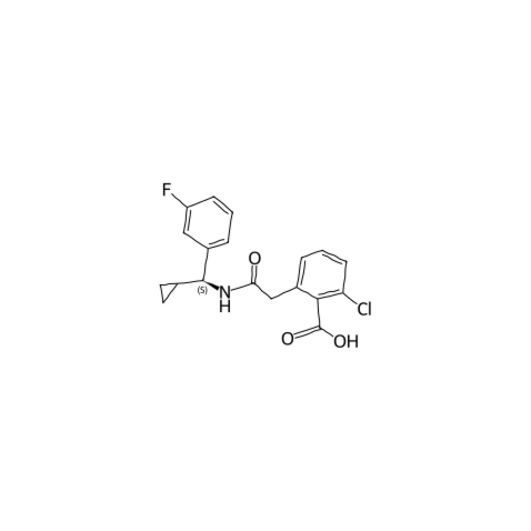 O=C(Cc1cccc(Cl)c1C(=O)O)N[C@H](c1cccc(F)c1)C1CC1